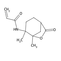 C=CC(=O)NC1(C)CCC2CC1(C)OC2=O